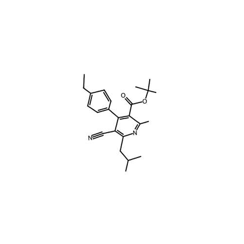 CCc1ccc(-c2c(C#N)c(CC(C)C)nc(C)c2C(=O)OC(C)(C)C)cc1